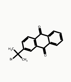 CC(C)(Br)c1ccc2c(c1)C(=O)c1ccccc1C2=O